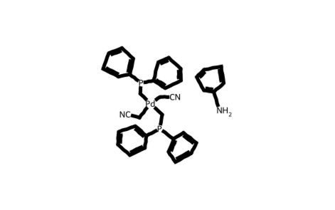 N#C[CH2][Pd]([CH2]C#N)([CH2]P(c1ccccc1)c1ccccc1)[CH2]P(c1ccccc1)c1ccccc1.Nc1ccccc1